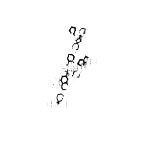 CC(C)c1ccccc1[C@H]1CCCN1C1CC2(CCN(c3ccc(C(=O)NS(=O)(=O)c4cc5c(c([N+](=O)[O-])c4)N[C@@H](C4CCC(C)(O)CC4)CO5)c(Oc4cc5cc[nH]c5nc4N4CCOCC4)c3)CC2)C1